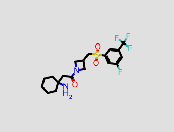 NC1(CC(=O)N2CC(CS(=O)(=O)c3cc(F)cc(C(F)(F)F)c3)C2)CCCCC1